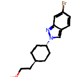 OCC[C@H]1CC[C@H](n2cc3ccc(Br)cc3n2)CC1